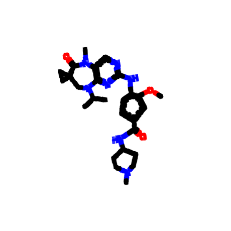 COc1cc(C(=O)NC2CCN(C)CC2)ccc1Nc1ncc2c(n1)N(C(C)C)CC1(CC1)C(=O)N2C